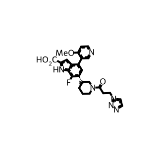 COc1ccncc1-c1cc([C@H]2CCCN(C(=O)CCn3ccnn3)C2)c(F)c2[nH]c(C(=O)O)cc12